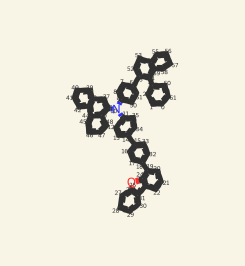 c1ccc(-c2c(-c3ccc(N(c4ccc(-c5ccc(-c6cccc7c6oc6ccccc67)cc5)cc4)c4cc5ccccc5c5ccccc45)cc3)ccc3ccccc23)cc1